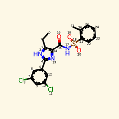 CCc1[nH]c(-c2cc(Cl)cc(Cl)c2)nc1C(=O)NS(=O)(=O)c1ccccc1C